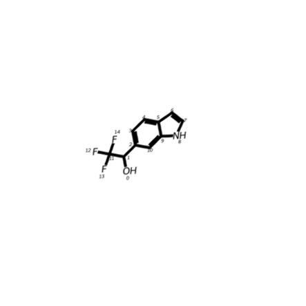 OC(c1ccc2cc[nH]c2c1)C(F)(F)F